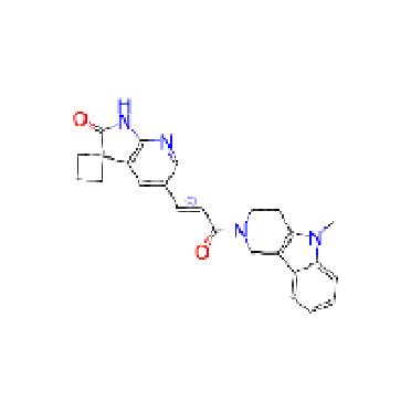 Cn1c2c(c3ccccc31)CN(C(=O)/C=C/c1cnc3c(c1)C1(CCC1)C(=O)N3)CC2